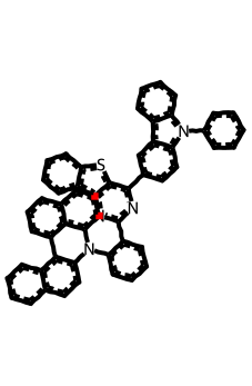 c1ccc(-n2c3ccccc3c3cc(-c4nc(-c5ccccc5N5c6ccc7ccccc7c6-c6cccc7cccc5c67)nc5c4sc4ccccc45)ccc32)cc1